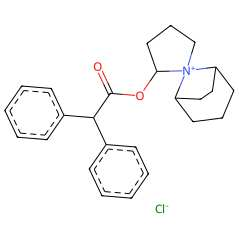 O=C(OC1CCC[N+]12C1CCCC2CC1)C(c1ccccc1)c1ccccc1.[Cl-]